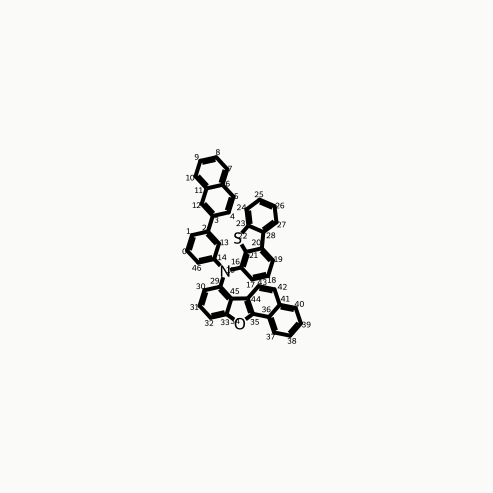 c1cc(-c2ccc3ccccc3c2)cc(N(c2cccc3c2sc2ccccc23)c2cccc3oc4c5ccccc5ccc4c23)c1